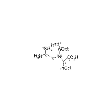 CCCCCCCCC(C(=O)O)N(CCCCCCCC)CC(N)N.Cl